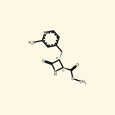 COC(=O)[C@H]1NC(=O)[C@@H]1Cc1ccnc(N)c1